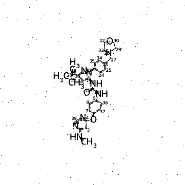 CNc1cc(Oc2ccc(NC(=O)Nc3cc(C(C)(C)C)nn3-c3ccc(CN4CCOCC4)cc3)cc2)ncn1